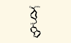 COC(=O)c1ccc(CNc2ccc3ncccc3c2)cc1